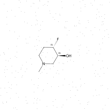 CN1CC[C@H](F)[C@@H](O)C1